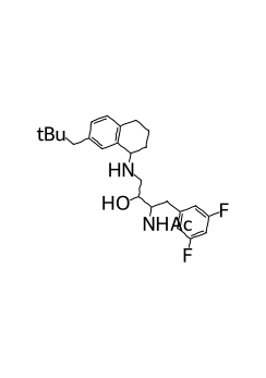 CC(=O)NC(Cc1cc(F)cc(F)c1)C(O)CNC1CCCc2ccc(CC(C)(C)C)cc21